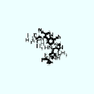 Cc1ncsc1[C@H](Nc1cc(C#N)c2ncc(C#N)c(NCC(C)(C)C)c2c1)C1=CN(C2(C(F)F)CC2)NN1